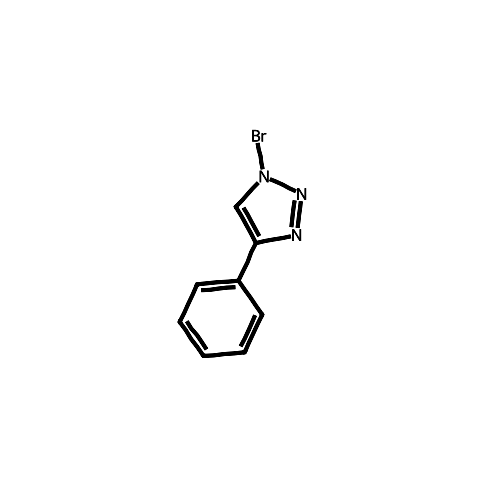 Brn1cc(-c2ccccc2)nn1